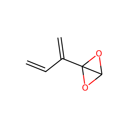 C=CC(=C)C12OC1O2